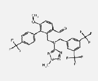 COc1ccc(C=O)c(CN(Cc2cc(C(F)(F)F)cc(C(F)(F)F)c2)c2nnn(C)n2)c1-c1ccc(C(F)(F)F)cc1